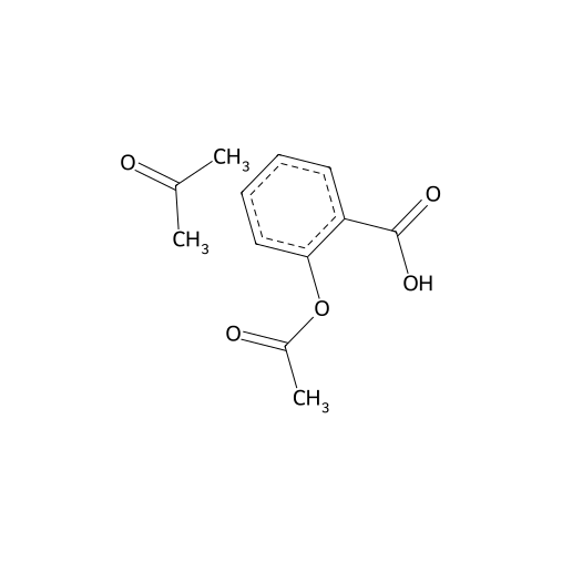 CC(=O)Oc1ccccc1C(=O)O.CC(C)=O